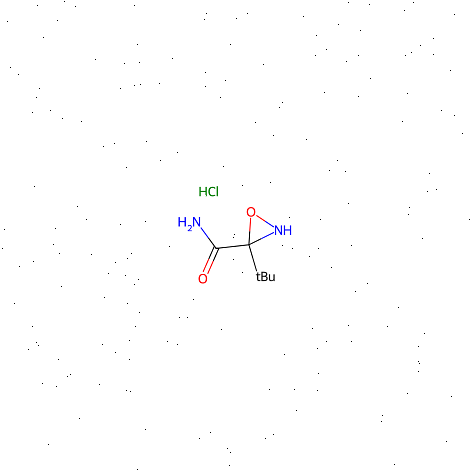 CC(C)(C)C1(C(N)=O)NO1.Cl